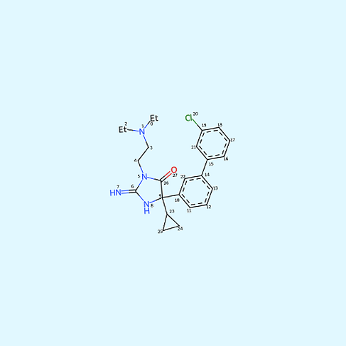 CCN(CC)CCN1C(=N)NC(c2cccc(-c3cccc(Cl)c3)c2)(C2CC2)C1=O